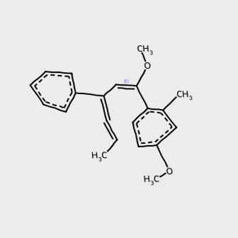 CC=C=C(/C=C(/OC)c1ccc(OC)cc1C)c1ccccc1